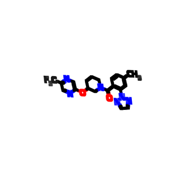 Cc1ccc(C(=O)N2CCCC(Oc3cnc(C(F)(F)F)cn3)C2)c(-n2nccn2)c1